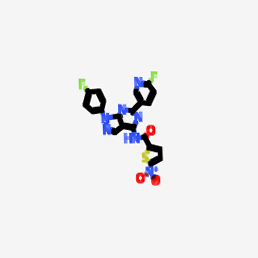 O=C(Nc1nc(-c2ccc(F)nc2)nc2c1cnn2-c1ccc(F)cc1)c1ccc([N+](=O)[O-])s1